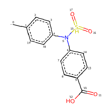 [CH2]c1ccc(N(c2ccc(C(=O)O)cc2)[SH](=O)=O)cc1